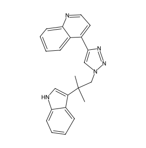 CC(C)(Cn1cc(-c2ccnc3ccccc23)nn1)c1c[nH]c2ccccc12